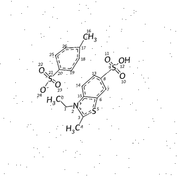 CC[n+]1c(C)sc2cc(S(=O)(=O)O)ccc21.Cc1ccc(S(=O)(=O)[O-])cc1